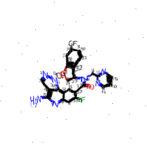 Cn1ncc2c(N)nc3cc(F)c(C(=O)N(Cc4ncccn4)C4COc5cc(C(F)(F)F)ccc54)cc3c21